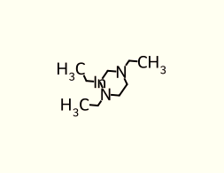 CCN1CC[N](CC)[In]([CH2]C)[CH2]1